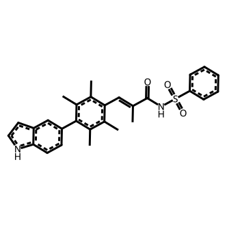 C/C(=C\c1c(C)c(C)c(-c2ccc3[nH]ccc3c2)c(C)c1C)C(=O)NS(=O)(=O)c1ccccc1